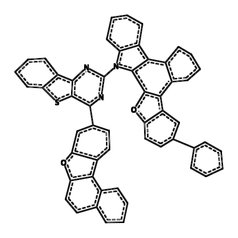 c1ccc(-c2ccc3oc4c(c3c2)c2ccccc2c2c3ccccc3n(-c3nc(-c5ccc6c(c5)oc5ccc7ccccc7c56)c5sc6ccccc6c5n3)c42)cc1